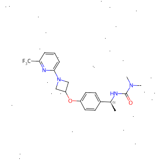 C[C@H](NC(=O)N(C)C)c1ccc(OC2CN(c3cccc(C(F)(F)F)n3)C2)cc1